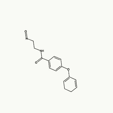 O=NCCNC(=O)c1ccc(OC2=CCCC=C2)cc1